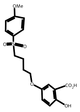 COc1ccc(S(=O)(=O)CCCCOc2ccc(O)c(C(=O)O)c2)cc1